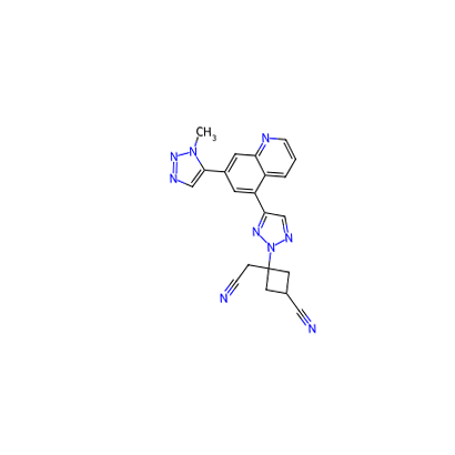 Cn1nncc1-c1cc(-c2cnn(C3(CC#N)CC(C#N)C3)n2)c2cccnc2c1